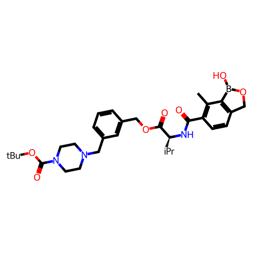 Cc1c(C(=O)N[C@H](C(=O)OCc2cccc(CN3CCN(C(=O)OC(C)(C)C)CC3)c2)C(C)C)ccc2c1B(O)OC2